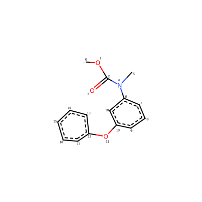 [CH2]OC(=O)N(C)c1cccc(Oc2ccccc2)c1